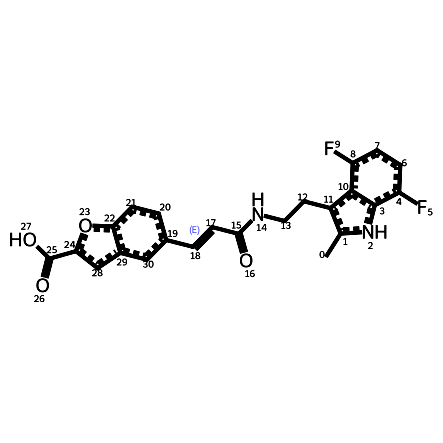 Cc1[nH]c2c(F)ccc(F)c2c1CCNC(=O)/C=C/c1ccc2oc(C(=O)O)cc2c1